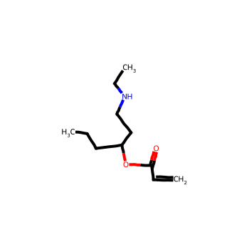 C=CC(=O)OC(CCC)CCNCC